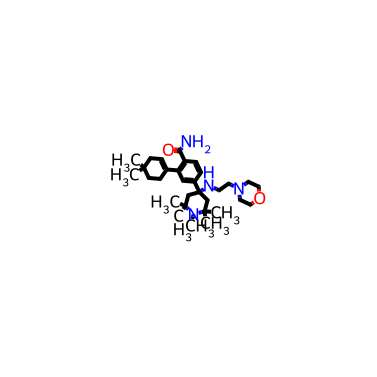 CN1C(C)(C)CC(NCCN2CCOCC2)(c2ccc(C(N)=O)c(C3=CCC(C)(C)CC3)c2)CC1(C)C